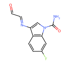 NC(=O)n1cc(N=CC=O)c2ccc(F)cc21